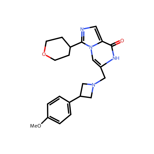 COc1ccc(C2CN(Cc3cn4c(C5CCOCC5)ncc4c(=O)[nH]3)C2)cc1